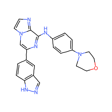 c1cn2cc(-c3ccc4[nH]ncc4c3)nc(Nc3ccc(N4CCOCC4)cc3)c2n1